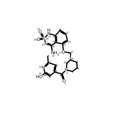 Cc1cc(C(=O)N2CCC[C@H](COc3cccc4c3C(N)=NS(=O)(=O)N4)C2)cc(O)n1